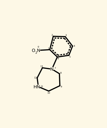 O=[N+]([O-])c1ccccc1N1CCCNCC1